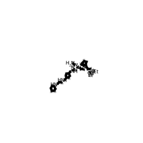 CCOP(=O)(CCCN1CCN(c2nc(N)nc(NCC3CCC(CNCCCNC4CCCCC4)CC3)n2)CC12CCCC2)OCC